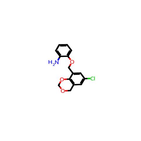 Nc1ccccc1OCc1cc(Cl)cc2c1OCOC2